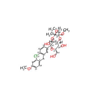 COc1ccc(Cc2cc([C@]3(O)O[C@H](CO)[C@@H](O)[C@@H]4OC(C)(OC)C(C)(OC)O[C@H]43)ccc2Cl)cc1